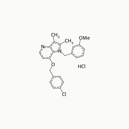 COc1cccc(Cn2c(C)c(C)c3nccc(OCc4ccc(Cl)cc4)c32)c1.Cl